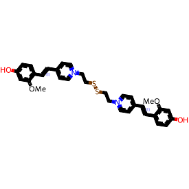 COc1cc(O)ccc1/C=C/c1cc[n+](CCSSCC[n+]2ccc(/C=C/c3ccc(O)cc3OC)cc2)cc1